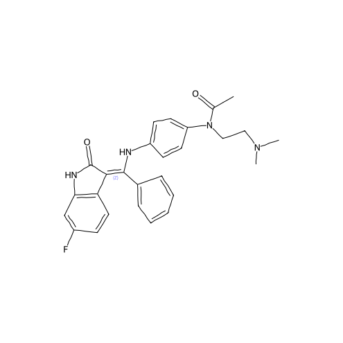 CC(=O)N(CCN(C)C)c1ccc(N/C(=C2\C(=O)Nc3cc(F)ccc32)c2ccccc2)cc1